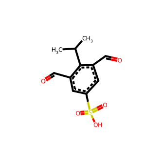 CC(C)c1c(C=O)cc(S(=O)(=O)O)cc1C=O